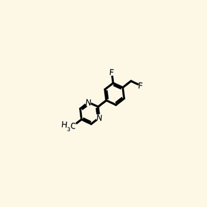 Cc1cnc(-c2ccc(CF)c(F)c2)nc1